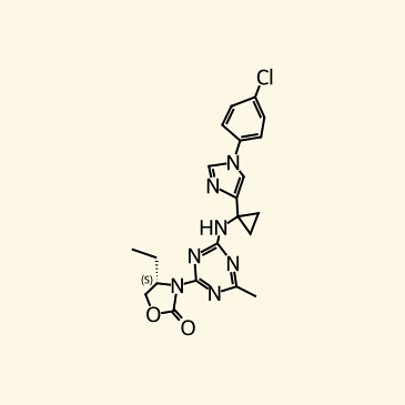 CC[C@H]1COC(=O)N1c1nc(C)nc(NC2(c3cn(-c4ccc(Cl)cc4)cn3)CC2)n1